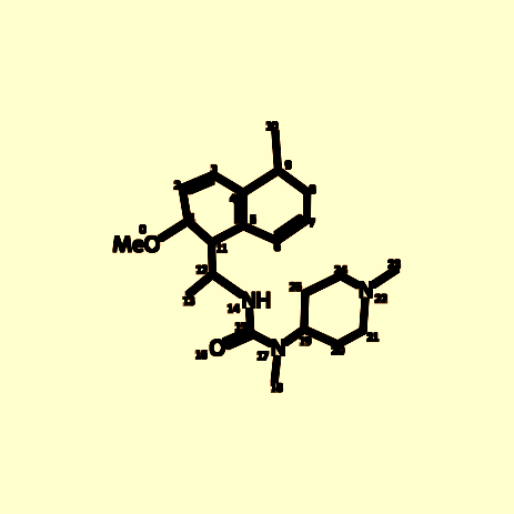 COC1C=CC2=C(C=CCC2C)C1C(C)NC(=O)N(C)C1CCN(C)CC1